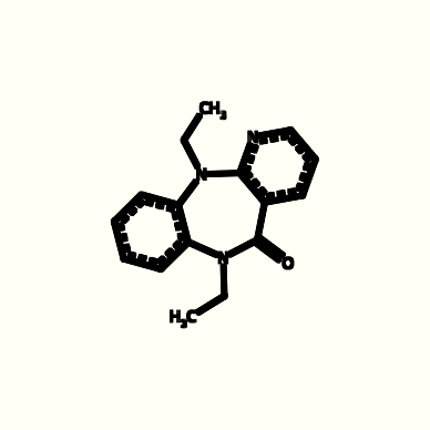 CCN1C(=O)c2cccnc2N(CC)c2ccccc21